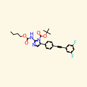 CCCCOC(=O)Nc1ncc(-c2ccc(C#Cc3cc(F)cc(F)c3)cc2)n1C(=O)OC(C)(C)C